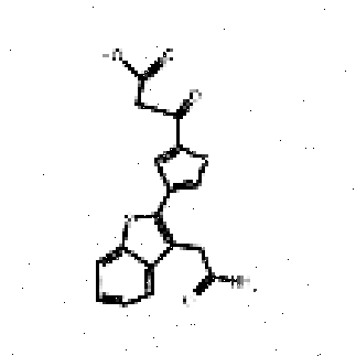 NC(=O)Cc1c(-c2csc(C(=O)CC(=O)O)c2)sc2ccccc12